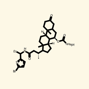 CCCCCCCC(=O)O[C@@H]1CC2CC(=O)CCC2(C)[C@H]2CCC3(C)C([C@H](C)CC(=O)NC(CC)c4ccc(Br)s4)CC[C@H]3C12